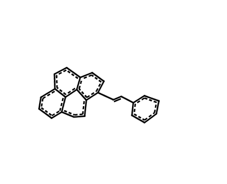 C(=Cc1ccc2ccc3cccc4ccc1c2c34)c1ccccc1